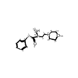 O=C(Oc1ccccc1)N(S)CCN1CCOCC1